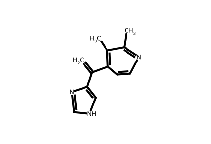 C=C(c1c[nH]cn1)c1ccnc(C)c1C